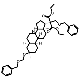 CCOC(=O)C(COCc1ccccc1)(C(=O)OCC)[C@H]1CC[C@H]2[C@@H]3CC[C@@H]4C[C@](C)(OCOCc5ccccc5)CC[C@@H]4[C@H]3CC[C@]12C